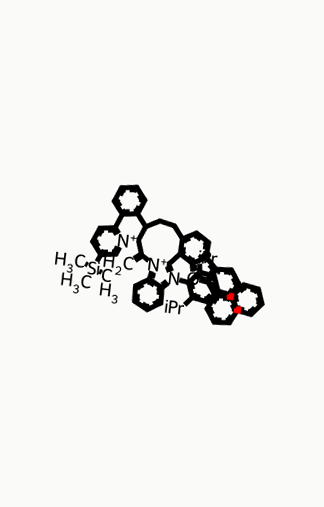 C=C1C2C(CCc3ccc4c(oc5c6ccccc6ccc45)c3-c3n(-c4c(C(C)C)cc(-c5ccccc5)cc4C(C)C)c4ccccc4[n+]31)c1ccccc1-c1ccc([Si](C)(C)C)c[n+]12